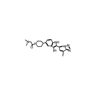 CC(C)c1c(-c2cc(F)c3ncnn3c2)[nH]c2ccc(C3CCN(C(=O)CN(C)C)CC3)cc12